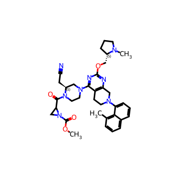 COC(=O)N1CC1C(=O)N1CCN(c2nc(OC[C@@H]3CCCN3C)nc3c2CCN(c2cccc4cccc(C)c24)C3)C[C@@H]1CC#N